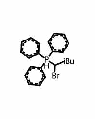 CCC(C)C(Br)[PH](c1ccccc1)(c1ccccc1)c1ccccc1